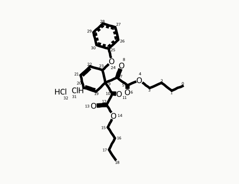 CCCCOC(=O)C(=O)C1(C(=O)C(=O)OCCCC)C=CC=CC1Oc1ccccc1.Cl.Cl